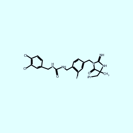 CC(C)CC1(C)NC(=N)N(Cc2ccc(CNC(=O)NCc3ccc(Cl)c(Cl)c3)c(F)c2)C1=O